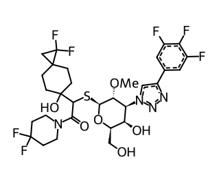 CO[C@@H]1[C@@H](n2cc(-c3cc(F)c(F)c(F)c3)nn2)[C@@H](O)[C@@H](CO)O[C@H]1SC(C(=O)N1CCC(F)(F)CC1)C1(O)CCC2(CC1)CC2(F)F